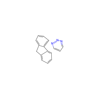 c1ccc2c(c1)Cc1ccccc1-2.c1cnnnc1